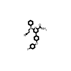 N#CCCN(c1ccccc1)c1cc(-c2ccc(Oc3ccc(F)cc3)cc2)cc(C(N)=O)n1